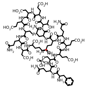 CC(C)CC(NC(=O)C(CCC(=O)O)NC(=O)C(CC(=O)O)NC(=O)C(CCC(=O)O)NC(=O)C(NC(=O)C(CCC(N)=O)NC(=O)C(CCC(N)=O)NC(=O)C(CCC(N)=O)NC(=O)C(CCC(=O)O)NC(=O)C(CCC(=O)O)NC(=O)C(COP(=O)(O)O)NC(=O)C(CCC(N)=O)NC(=O)C(N)Cc1ccccc1)C(C)O)C(=O)NC(CCC(N)=O)C(=O)NC(CC(=O)O)C(=O)NC(CCCCN)C(=O)O